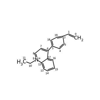 C=Cc1ccc(-c2cc[n+](CC)c3ccccc23)cc1